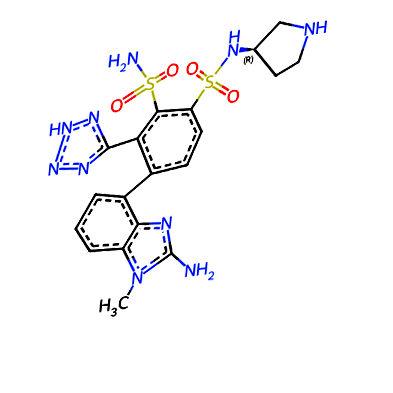 Cn1c(N)nc2c(-c3ccc(S(=O)(=O)N[C@@H]4CCNC4)c(S(N)(=O)=O)c3-c3nn[nH]n3)cccc21